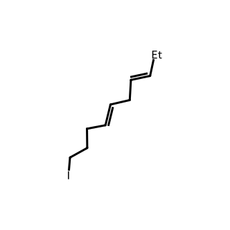 CCC=CCC=CCCCI